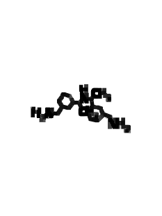 CC(NC(C)C1CCCC(CN)C1)C1CCCC(CN)C1